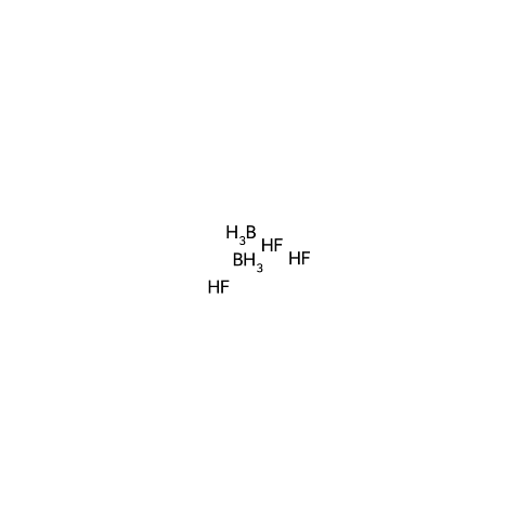 B.B.F.F.F